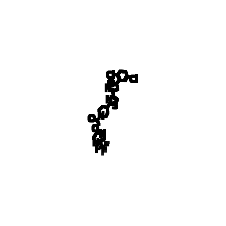 O=C(COc1cnc(C(F)(F)F)cn1)N1CCC(c2nc(C3=NOC(c4cc(Cl)ccc4Cl)C3)cs2)CC1